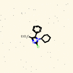 CCOC(=O)c1nc(Cl)n(C2CCCCC2)c1-c1ccccc1